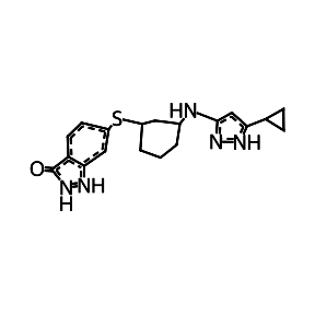 O=c1[nH][nH]c2cc(SC3CCCC(Nc4cc(C5CC5)[nH]n4)C3)ccc12